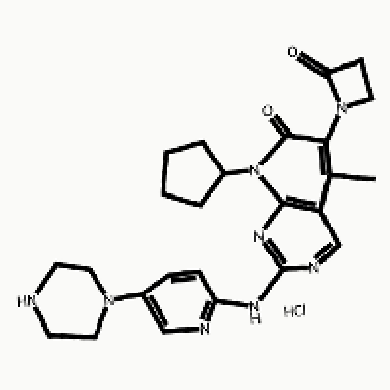 Cc1c(N2CCC2=O)c(=O)n(C2CCCC2)c2nc(Nc3ccc(N4CCNCC4)cn3)ncc12.Cl